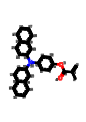 C=C(C)C(=O)Oc1ccc(N(c2ccc3ccccc3c2)c2ccc3ccccc3c2)cc1